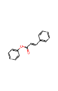 O=C(/C=C/c1cc[c]cc1)Oc1ccccc1